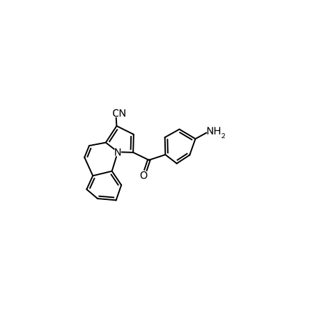 N#Cc1cc(C(=O)c2ccc(N)cc2)n2c1ccc1ccccc12